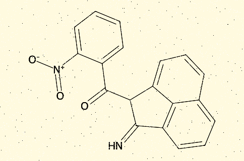 N=C1c2cccc3cccc(c23)C1C(=O)c1ccccc1[N+](=O)[O-]